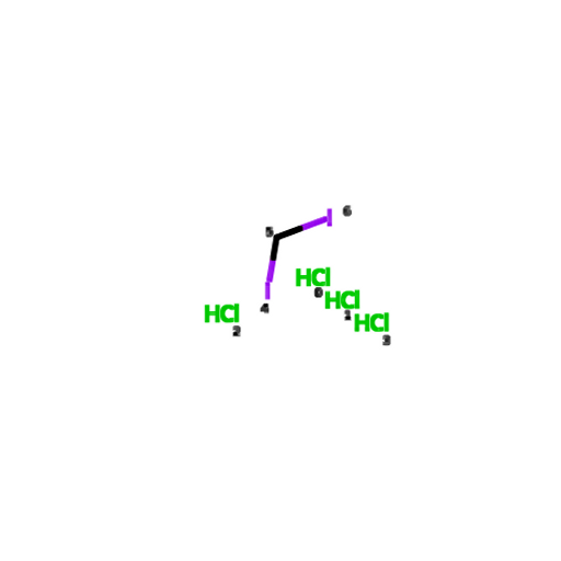 Cl.Cl.Cl.Cl.ICI